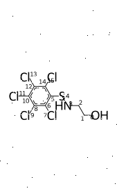 OCCNSc1c(Cl)c(Cl)c(Cl)c(Cl)c1Cl